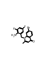 Cc1cc(=O)c2ccc(Br)cc2n1Cc1cc(F)cc(F)c1N